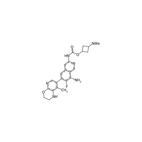 CNC1CC(OC(=O)Nc2cc3cc(-c4cnc5c(c4C)NCCO5)c(F)c(N)c3cn2)C1